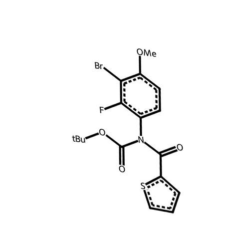 COc1ccc(N(C(=O)OC(C)(C)C)C(=O)c2cccs2)c(F)c1Br